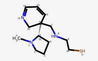 CN1CCC[C@H]1C1(CNCCS)C=CC=NC1